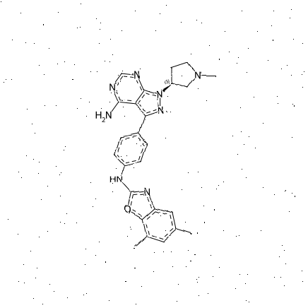 Cc1cc(C)c2oc(Nc3ccc(-c4nn([C@H]5CCN(C)C5)c5ncnc(N)c45)cc3)nc2c1